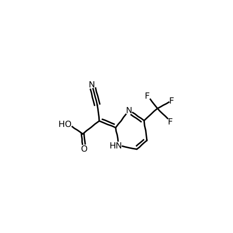 N#CC(C(=O)O)=C1N=C(C(F)(F)F)C=CN1